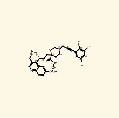 COc1ccc2ncc(CN)c([C@H](F)CCC3(C(=O)NO)CCN(CC#Cc4cc(F)cc(F)c4F)CC3)c2c1